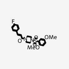 COc1ccc(OC)c(S(=O)(=O)N2CCN(C(=O)C=Cc3ccc(F)cc3)CC2)c1